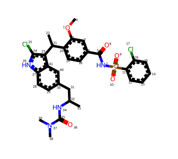 COc1cc(C(=O)NS(=O)(=O)c2ccccc2Cl)ccc1C(C)c1c(Cl)[nH]c2ccc(CC(C)NC(=O)N(C)C)cc12